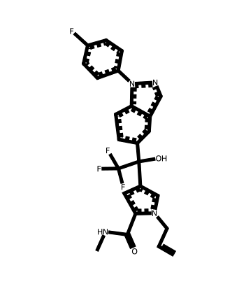 C=CCn1cc(C(O)(c2ccc3c(cnn3-c3ccc(F)cc3)c2)C(F)(F)F)cc1C(=O)NC